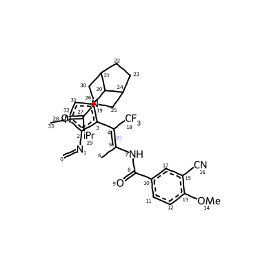 C=Nc1c(/C(=C(\C)NC(=O)c2ccc(OC)c(C#N)c2)C(F)(F)F)c(C2C3CCC2CN(C(=O)C(C)C)C3)cn1C